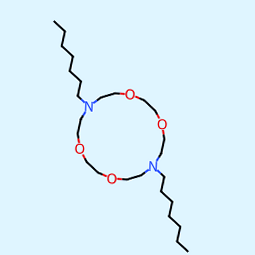 CCCCCCCN1CCOCCOCCN(CCCCCCC)CCOCCOCC1